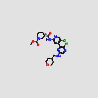 COC(=O)N1CCC[C@H](C(=O)Nc2cc(-c3nc(NCC4CCOCC4)cnc3Cl)c(Cl)cn2)C1